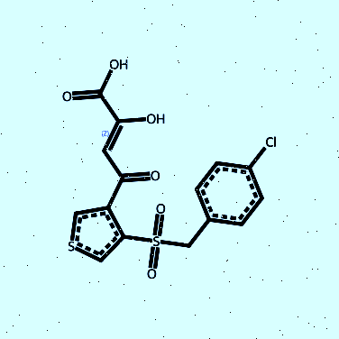 O=C(O)/C(O)=C/C(=O)c1cscc1S(=O)(=O)Cc1ccc(Cl)cc1